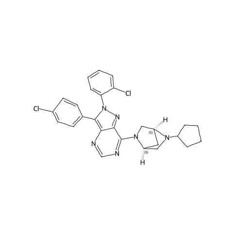 Clc1ccc(-c2c3ncnc(N4C[C@@H]5C[C@H]4CN5C4CCCC4)c3nn2-c2ccccc2Cl)cc1